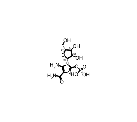 NC(=O)c1nc(OP(=O)(O)O)n([C@@H]2O[C@H](CO)[C@@H](O)[C@H]2O)c1N